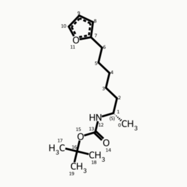 C[C@@H](CCCCCc1ccco1)NC(=O)OC(C)(C)C